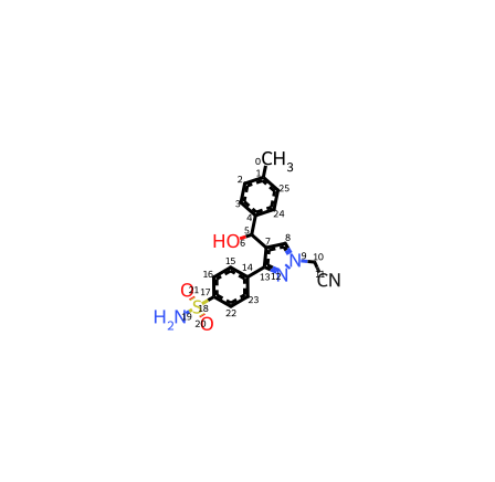 Cc1ccc(C(O)c2cn(CC#N)nc2-c2ccc(S(N)(=O)=O)cc2)cc1